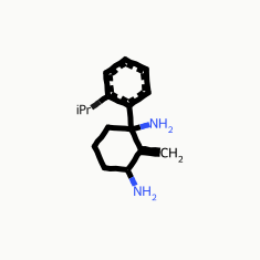 C=C1C(N)CCCC1(N)c1ccccc1C(C)C